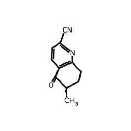 CC1CCc2nc(C#N)ccc2C1=O